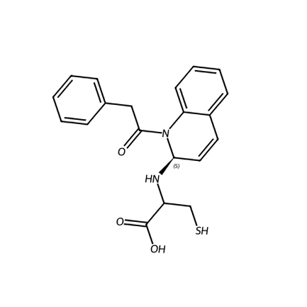 O=C(O)C(CS)N[C@@H]1C=Cc2ccccc2N1C(=O)Cc1ccccc1